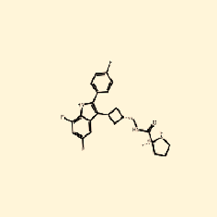 C[C@@]1(C(=O)NC[C@H]2C[C@H](c3c(-c4ccc(F)cc4)[nH]c4c(F)cc(F)cc43)C2)CCCN1